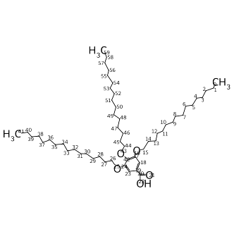 CCCCCCCCCCCCCCCCOc1cc(C(=O)O)cc(OCCCCCCCCCCCCCCCC)c1OCCCCCCCCCCCCCCCC